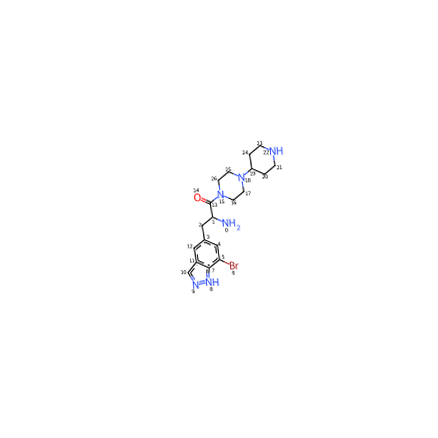 NC(Cc1cc(Br)c2[nH]ncc2c1)C(=O)N1CCN(C2CCNCC2)CC1